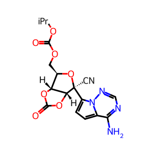 CC(C)OC(=O)OC[C@H]1O[C@@](C#N)(c2ccc3c(N)ncnn23)[C@@H]2OC(=O)O[C@@H]21